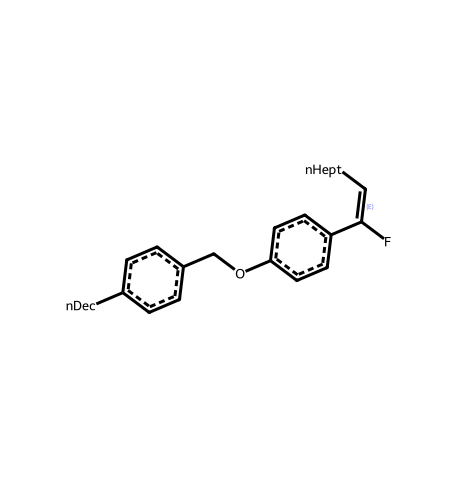 CCCCCCC/C=C(/F)c1ccc(OCc2ccc(CCCCCCCCCC)cc2)cc1